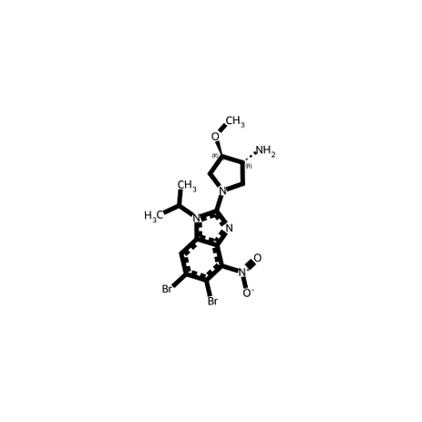 CO[C@@H]1CN(c2nc3c([N+](=O)[O-])c(Br)c(Br)cc3n2C(C)C)C[C@H]1N